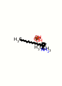 CCCCCCCCCCCCCCCCc1ccccc1C(C)(C)N.O=S(=O)(O)O